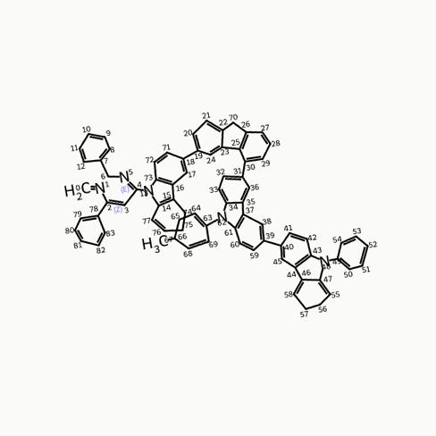 C=N/C(=C\C(=N/Cc1ccccc1)n1c2c(c3cc(-c4ccc5c(c4)-c4c(cccc4-c4ccc6c(c4)c4cc(-c7ccc8c(c7)c7c(n8-c8ccccc8)=CCCC=7)ccc4n6C4=CCC(C)C=C4)C5)ccc31)CCC=C2)c1ccccc1